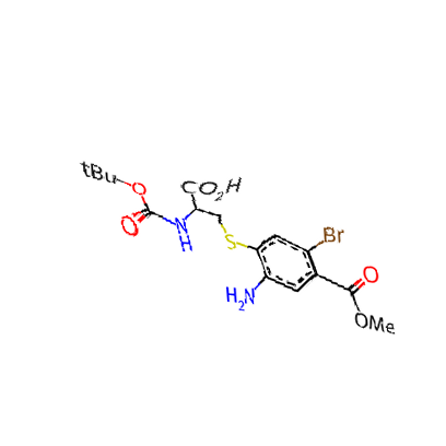 COC(=O)c1cc(N)c(SCC(NC(=O)OC(C)(C)C)C(=O)O)cc1Br